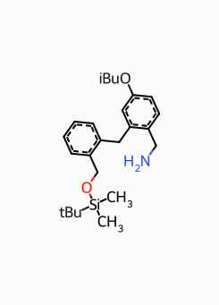 CC(C)COc1ccc(CN)c(Cc2ccccc2CO[Si](C)(C)C(C)(C)C)c1